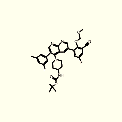 COCOc1c(C#N)cc(F)cc1-c1cnc2ncc(-c3cc(C)cc(F)c3)c(N3CCC(NC(=O)OC(C)(C)C)CC3)c2c1